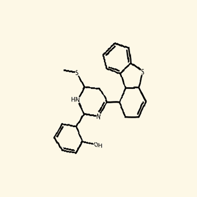 CSC1CC(C2CC=CC3Sc4ccccc4C32)=NC(C2C=CC=CC2O)N1